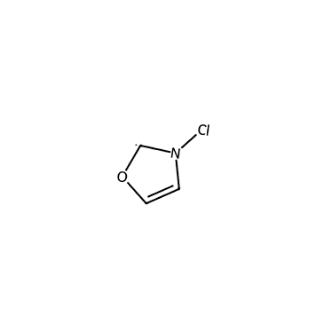 ClN1[CH]OC=C1